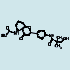 CC(C)(C)C(=O)Nc1cccc2oc(-c3ccc(NC(=O)C(C)(C)CO)cc3)cc(=O)c12